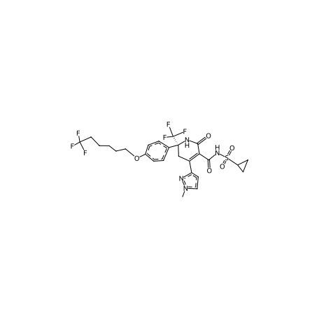 Cn1ccc(C2=C(C(=O)NS(=O)(=O)C3CC3)C(=O)N[C@@](c3ccc(OCCCCCC(F)(F)F)cc3)(C(F)(F)F)C2)n1